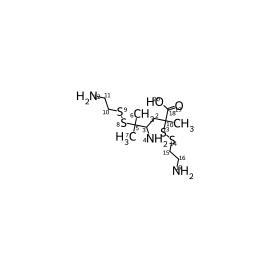 CC(CC(N)C(C)(C)SSCCN)(SSCCN)C(=O)O